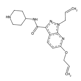 C=CCOc1ccc2c(C(=O)NC3CCNCC3)nn(CC=C)c2n1